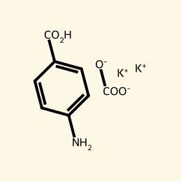 Nc1ccc(C(=O)O)cc1.O=C([O-])[O-].[K+].[K+]